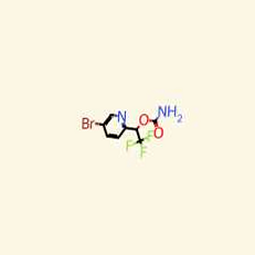 NC(=O)OC(c1ccc(Br)cn1)C(F)(F)F